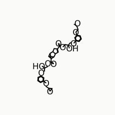 O=C(OCC(O)COc1cccc(OCC2CO2)c1)C1=CC2C3CC(C=C3C(=O)OCC(O)COc3cccc(OCC4CO4)c3)C2C1